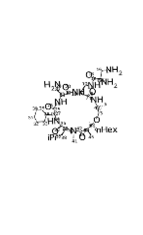 CCCCCC[C@H]1OC[C@@H](C)NC(=O)[C@H](CNC(=O)[C@@H](N)CN)NC(=O)[C@H](CN)NC(=O)[C@H](C2CCCCC2)NC(=O)[C@H](CC(C)C)N(C)C(=O)[C@@H]1C